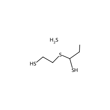 CCC(S)SCCS.S